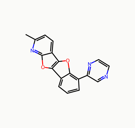 Cc1ccc2c(n1)oc1c3cccc(-c4cnccn4)c3oc21